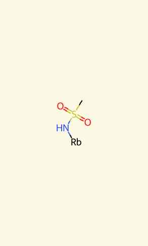 CS(=O)(=O)[NH][Rb]